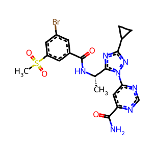 C[C@H](NC(=O)c1cc(Br)cc(S(C)(=O)=O)c1)c1nc(C2CC2)nn1-c1cc(C(N)=O)ncn1